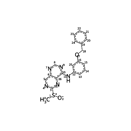 C[S+]([O-])c1ncc2ncnc(Nc3cccc(OCc4ccccc4)c3)c2n1